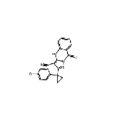 N#Cc1c(C2(c3ccc(Cl)cc3)CC2)nn2c(=O)c3ccccc3[nH]c12